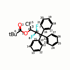 CC(C)(C)C(=O)OC(C(F)(F)F)C(F)(F)C(c1ccccc1)(c1ccccc1)c1ccccc1